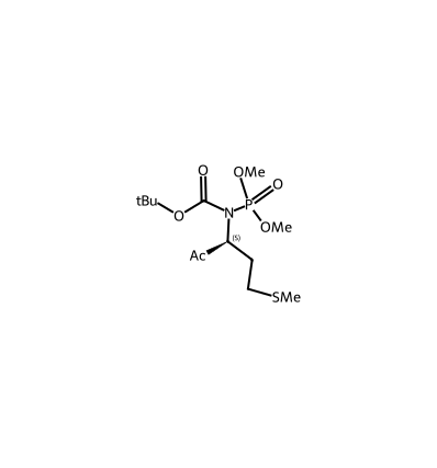 COP(=O)(OC)N(C(=O)OC(C)(C)C)[C@@H](CCSC)C(C)=O